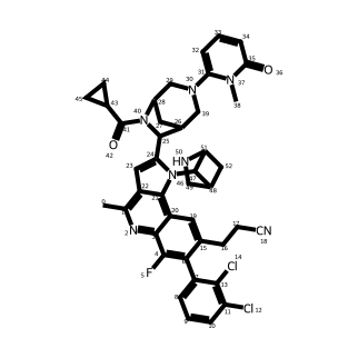 Cc1nc2c(F)c(-c3cccc(Cl)c3Cl)c(CCC#N)cc2c2c1cc(C1C3CC(CN(c4cccc(=O)n4C)C3)N1C(=O)C1CC1)n2C1C2CNC1C2